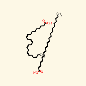 CC/C=C\C/C=C\C/C=C\C/C=C\C/C=C\CCCCCCCC(=O)O.CCCCCCCCCCCC=CC=CC=CC=CC=CC=CC(=O)O